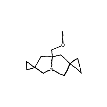 COCC12CC3(CC3)CN1CC1(CC1)C2